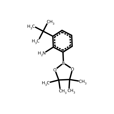 CC(C)(C)c1cccc(B2OC(C)(C)C(C)(C)O2)c1N